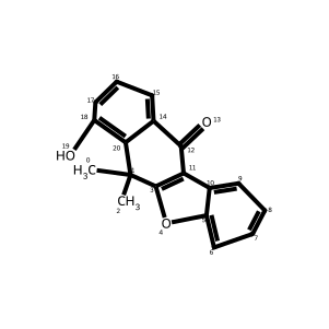 CC1(C)c2oc3ccccc3c2C(=O)c2cccc(O)c21